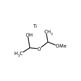 COC(C)OC(C)O.[Ti]